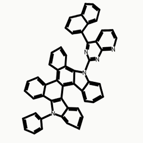 c1ccc(-n2c3ccccc3c3c4c(c5ccccc5c32)c2ccccc2c2c4c3ccccc3n2-c2nc(-c3cccc4ccccc34)c3cccnc3n2)cc1